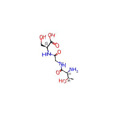 C[C@@H](O)[C@H](N)C(=O)NCC(=O)N[C@@H](CO)C(=O)O